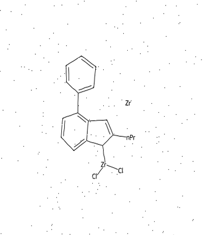 CCCC1=Cc2c(-c3ccccc3)cccc2[CH]1[Zr]([Cl])[Cl].[Zr]